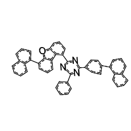 c1ccc(-c2nc(-c3ccc(-c4cccc5ccccc45)cc3)nc(-c3cccc4oc5c(-c6cccc7ccccc67)cccc5c34)n2)cc1